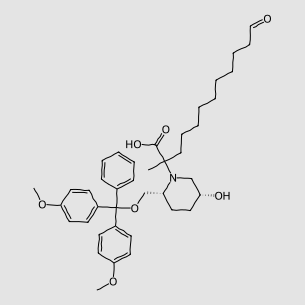 COc1ccc(C(OC[C@H]2CC[C@@H](O)CN2C(C)(CCCCCCCCCC=O)C(=O)O)(c2ccccc2)c2ccc(OC)cc2)cc1